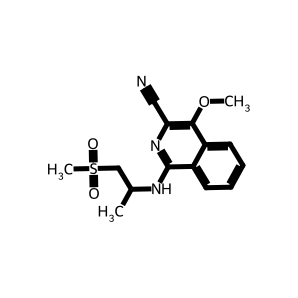 COc1c(C#N)nc(NC(C)CS(C)(=O)=O)c2ccccc12